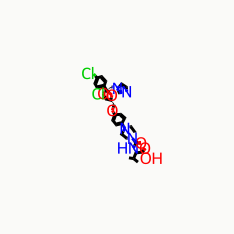 CC(C)[C@H](NC(=O)N1CCN(c2ccc(OC[C@@H]3CO[C@@](Cn4ccnc4)(c4ccc(Cl)cc4Cl)O3)cc2)CC1)C(=O)O